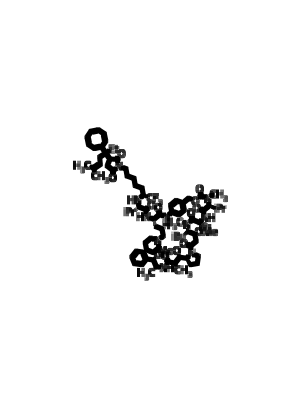 CC[C@H](C)[C@@H]([C@@H](CC(=O)N1CCC[C@H]1[C@H](OC)[C@@H](C)C(=O)N[C@H](C)[C@@H](O)c1ccccc1)OC)N(C)C(=O)[C@@H](NC(=O)[C@H](C(C)C)N(C)C(=O)OCc1ccc(NC(=O)[C@H](CCCN2CCCCC2)NC(=O)[C@@H](N[C@@H](CCCCCN2C(=O)CC(C(CC)(CC=C(C)C)C3=C/C=C\C=C/C=C\3)C2=O)C(F)(F)F)C(C)C)cc1)C(C)C